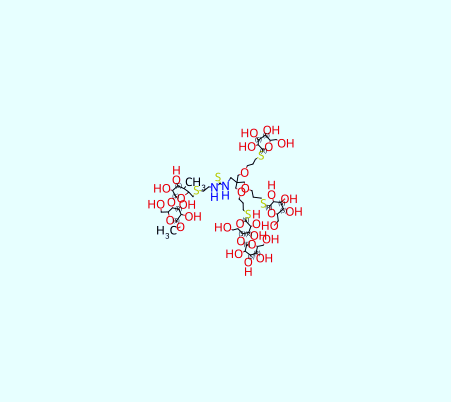 CO[C@H]1OC(CO)C(O[C@H]2OC(CSCCNC(=S)NCC(COCCCS[C@H]3OC(CO)[C@@H](O)[C@H](O)C3O)(COCCCS[C@H]3OC(CO)[C@@H](O)[C@H](O)C3O)COCCCS[C@@H]3OC(CO)[C@@H](O[C@@H]4OC(CO)[C@H](O)[C@H](O)C4O)[C@H](O)C3O)C(C)[C@H](O)C2O)[C@H](O)C1O